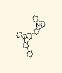 c1ccc(-c2ccc3c(c2)c2cc(-c4ccc5c6cccc7c8ccccc8n(c5c4)c76)cc4c5ccccc5n3c42)cc1